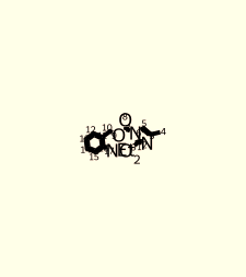 CCc1nc(C)cn1C(=O)OCc1ccccc1[N+](=O)[O-]